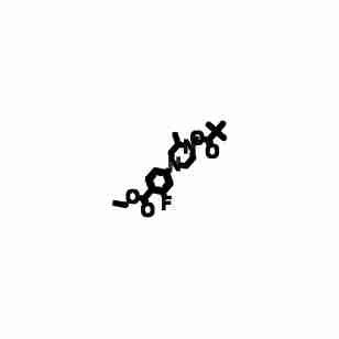 CCOC(=O)c1ccc(N2CCN(OC(=O)C(C)(C)C)C(C)C2)cc1F